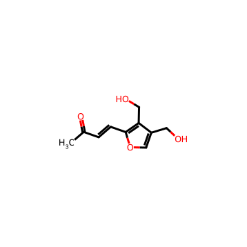 CC(=O)C=Cc1occ(CO)c1CO